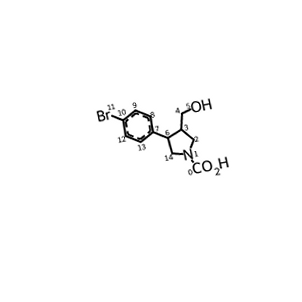 O=C(O)N1CC(CO)C(c2ccc(Br)cc2)C1